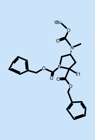 CCC1(C(=O)OCc2ccccc2)C[C@@H](N(C)C(=O)OC(C)(C)C)CN1C(=O)OCc1ccccc1